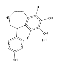 Cl.Oc1ccc(C2CNCCc3c(F)c(O)c(O)c(F)c32)cc1